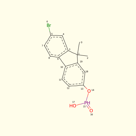 CC1(C)c2cc(Br)ccc2-c2ccc(O[PH](=O)O)cc21